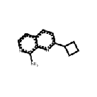 Nc1nccc2ccc(C3CCC3)nc12